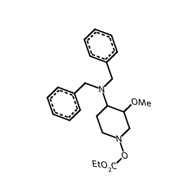 CCOC(=O)ON1CCC(N(Cc2ccccc2)Cc2ccccc2)C(OC)C1